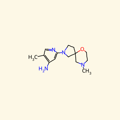 Cc1cnc(N2CCC3(CN(C)CCO3)C2)cc1N